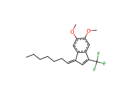 CCCCCC/C=C1/C=C(C(F)(F)F)c2cc(OC)c(OC)cc21